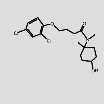 CN(C(=O)CCCOc1ccc(Cl)cc1Cl)C1(C)CCC(O)CC1